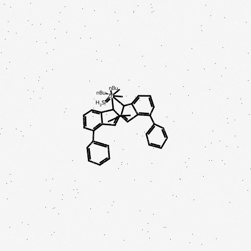 CCC[CH2][Zr]([CH3])([CH3])(=[SiH2])([CH2]CCC)([CH]1C(C)=Cc2c(-c3ccccc3)cccc21)[CH]1C(C)=Cc2c(-c3ccccc3)cccc21